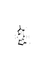 CC1=CC(=O)N(PN2C(=O)C=CC2=O)C1=O